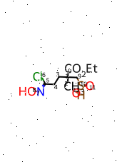 CCOC(=O)C(C)(CCC(Cl)=NO)C[SH](=O)=O